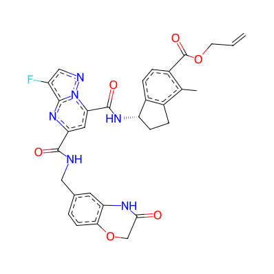 C=CCOC(=O)c1ccc2c(c1C)CC[C@@H]2NC(=O)c1cc(C(=O)NCc2ccc3c(c2)NC(=O)CO3)nc2c(F)cnn12